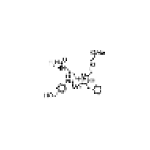 COCCOCCC(=O)NC(Cc1ccccc1)C(=O)NC(CCCNC(N)=O)C(=O)Nc1ccc(CO)cc1